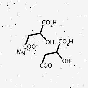 O=C([O-])CC(O)C(=O)O.O=C([O-])CC(O)C(=O)O.[Mg+2]